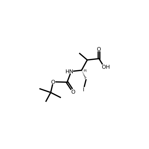 CC(C(=O)O)[C@H](CI)NC(=O)OC(C)(C)C